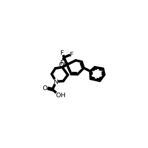 O=C(O)N1CCC(O)(C2(C(F)(F)F)C=CC(c3ccccc3)=CC2)CC1